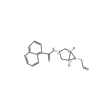 O=CC[C@@H]1[C@H]2C[C@H](NC(=O)c3cccc4ncccc34)C[C@@H]12